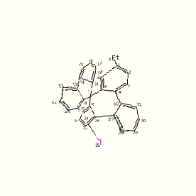 CCc1ccc2c(c1)C1(c3ccccc3-c3ccccc31)c1cccc(I)c1-c1ccccc1-2